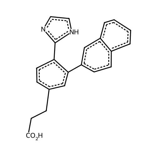 O=C(O)CCc1ccc(-c2ncc[nH]2)c(-c2ccc3ccccc3c2)c1